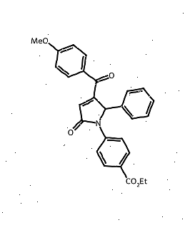 CCOC(=O)c1ccc(N2C(=O)C=C(C(=O)c3ccc(OC)cc3)C2c2ccccc2)cc1